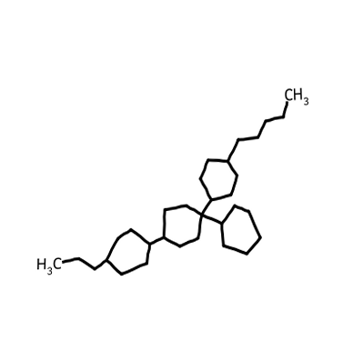 CCCCCC1CCC(C2(C3CCCCC3)CCC(C3CCC(CCC)CC3)CC2)CC1